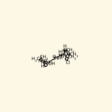 Cc1nc(NC(=O)c2ccccc2NC(O)CCCCC(=O)NCCNC(=O)C[C@@H]2N=C(c3ccc(Cl)cc3)c3c(sc(C)c3C)N3C2=NNC3C)sc1C